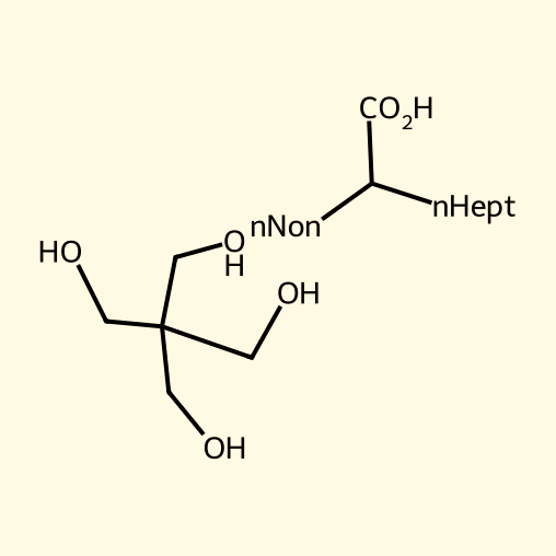 CCCCCCCCCC(CCCCCCC)C(=O)O.OCC(CO)(CO)CO